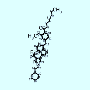 CCCOCCCC(=O)c1ccc(Cc2nccn3c(-c4cn(CCC5CCCCC5)nc4C(F)(F)F)cnc23)cc1CC